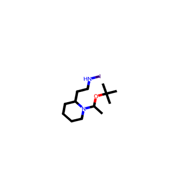 CC(OC(C)(C)C)N1CCCCC1CCNI